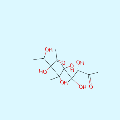 CC(=O)C(O)C(C)(O)C(C)(O)C(C)(O)C(O)(C(C)=O)C(C)O